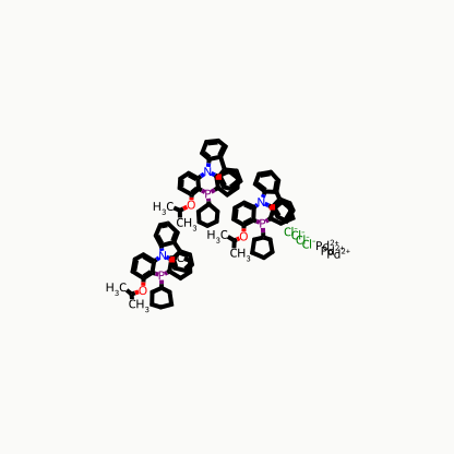 CC(C)Oc1cccc(-n2c3ccccc3c3ccccc32)c1P(C1CCCCC1)C1CCCCC1.CC(C)Oc1cccc(-n2c3ccccc3c3ccccc32)c1P(C1CCCCC1)C1CCCCC1.CC(C)Oc1cccc(-n2c3ccccc3c3ccccc32)c1P(C1CCCCC1)C1CCCCC1.[Cl-].[Cl-].[Cl-].[Cl-].[Pd+2].[Pd+2].[Pd+2]